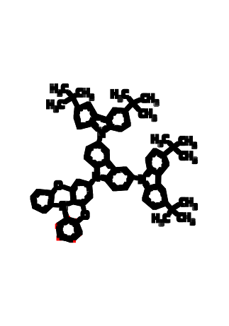 CC(C)(C)c1ccc2c(c1)c1cc(C(C)(C)C)ccc1n2-c1ccc2c(c1)c1cc(-n3c4ccc(C(C)(C)C)cc4c4cc(C(C)(C)C)ccc43)ccc1n2-c1cc2c3c(c1)Oc1ccccc1[Si]3(c1ccccc1)c1ccccc1O2